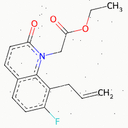 C=CCc1c(F)ccc2ccc(=O)n(CC(=O)OCC)c12